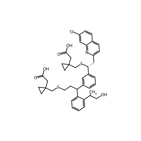 CC(CO)c1ccccc1C(CCSCC1(CC(=O)O)CC1)c1cccc([C@@H](Cc2ccc3ccc(Cl)cc3n2)SCC2(CC(=O)O)CC2)c1